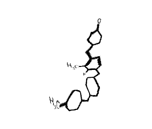 Cc1c(CC2CCC(=O)CC2)ccc(CC2CCC(CC3CCC(C)CC3)CC2)c1F